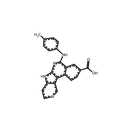 Cc1ccc(Nc2nc3[nH]c4ccncc4c3c3ccc(C(=O)O)cc23)cc1